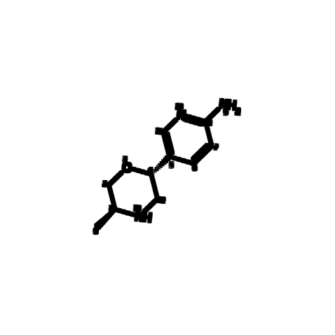 C[C@H]1CO[C@H](c2ccc(N)nc2)CN1